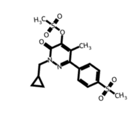 Cc1c(-c2ccc(S(C)(=O)=O)cc2)nn(CC2CC2)c(=O)c1OS(C)(=O)=O